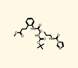 COC(=O)CCc1ccccc1NC(=O)[C@H](CCCNC(=O)n1ccnc1)NC(=O)OC(C)(C)C